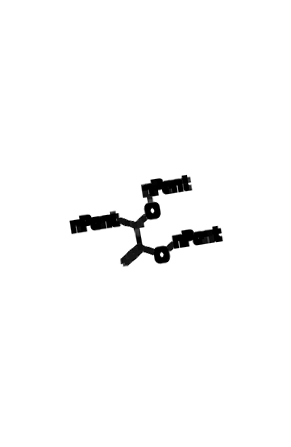 C=C(OCCCCC)[C](CCCCC)OCCCCC